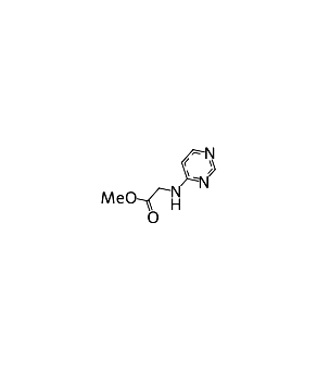 COC(=O)CNc1ccncn1